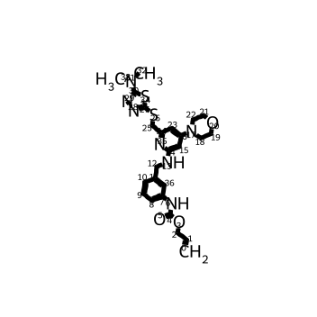 C=CCOC(=O)Nc1cccc(CNc2cc(N3CCOCC3)cc(CSc3nnc(N(C)C)s3)n2)c1